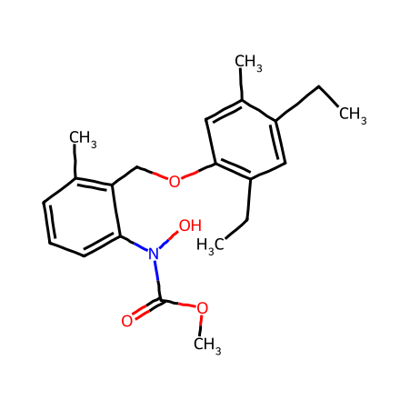 CCc1cc(CC)c(OCc2c(C)cccc2N(O)C(=O)OC)cc1C